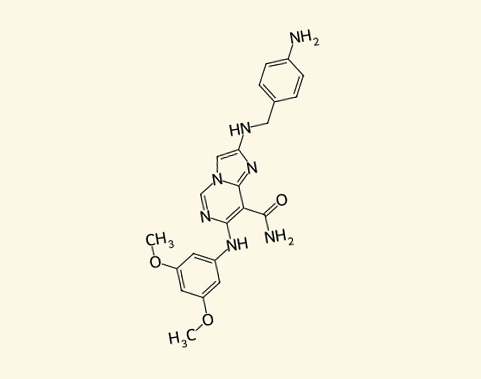 COc1cc(Nc2ncn3cc(NCc4ccc(N)cc4)nc3c2C(N)=O)cc(OC)c1